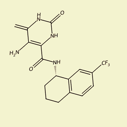 C=C1NC(=O)NC(C(=O)N[C@H]2CCCc3ccc(C(F)(F)F)cc32)=C1N